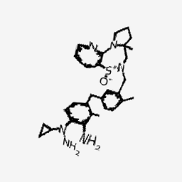 Cc1ccc(Cc2ccc(N(N)C3CC3)c(N)c2C)cc1CN1CC2(C)CCCN2c2ncccc2[S+]1[O-]